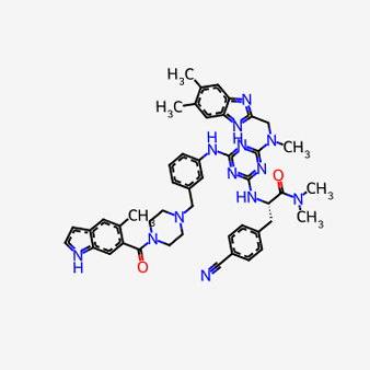 Cc1cc2nc(CN(C)c3nc(Nc4cccc(CN5CCN(C(=O)c6cc7[nH]ccc7cc6C)CC5)c4)nc(N[C@@H](Cc4ccc(C#N)cc4)C(=O)N(C)C)n3)[nH]c2cc1C